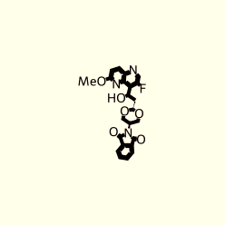 COc1ccc2ncc(F)c(C(O)C[C@H]3OC[C@H](N4C(=O)c5ccccc5C4=O)CO3)c2n1